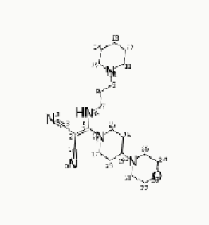 N#CC(C#N)=C(NCCCN1CCCCC1)N1CCC(N2CCOCC2)CC1